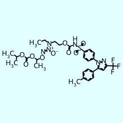 CCN(CCOC(=O)NS(=O)(=O)c1ccc(-n2nc(C(F)(F)F)cc2-c2ccc(C)cc2)cc1)[N+]([O-])=NOC(C)OC(=O)OC(C)C